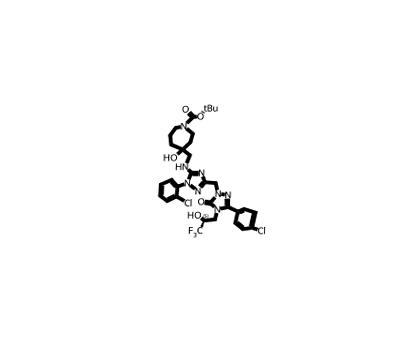 CC(C)(C)OC(=O)N1CCCC(O)(CNc2nc(Cn3nc(-c4ccc(Cl)cc4)n(C[C@H](O)C(F)(F)F)c3=O)nn2-c2ccccc2Cl)CC1